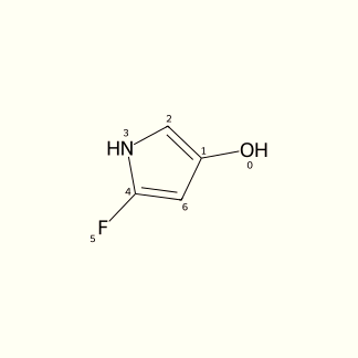 Oc1c[nH]c(F)c1